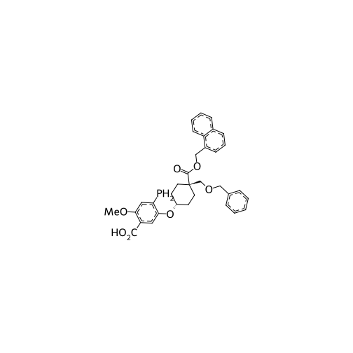 COc1cc(P)c(O[C@H]2CC[C@@](COCc3ccccc3)(C(=O)OCc3cccc4ccccc34)CC2)cc1C(=O)O